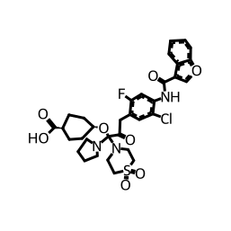 O=C(Nc1cc(F)c(CC(=O)C(O[C@H]2CC[C@H](C(=O)O)CC2)(N2CCCC2)N2CCS(=O)(=O)CC2)cc1Cl)c1coc2ccccc12